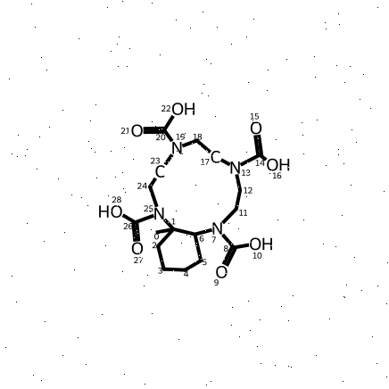 CC12CCCCC1N(C(=O)O)CCN(C(=O)O)CCN(C(=O)O)CCN2C(=O)O